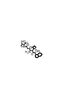 CC(C)[C@H](NC(=O)C[C@H](O)[C@@H](N)C(C(=O)C(O)c1cccc2ccccc12)c1cccs1)C(=O)O